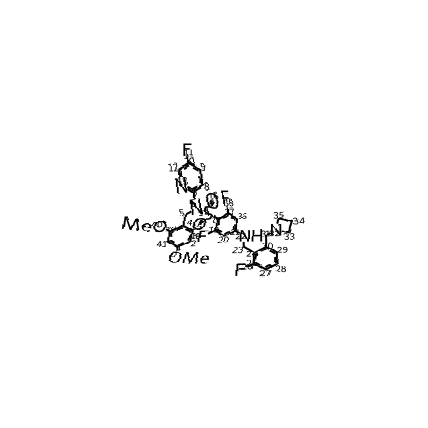 COc1ccc(CN(c2ccc(F)cn2)S(=O)(=O)c2c(F)cc(NCc3c(F)cccc3CN3CCC3)cc2F)c(OC)c1